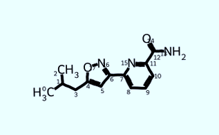 CC(C)Cc1cc(-c2cccc(C(N)=O)n2)no1